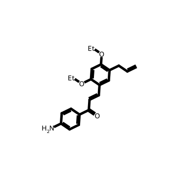 C=CCc1cc(C=CC(=O)c2ccc(N)cc2)c(OCC)cc1OCC